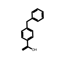 C=C(O)c1ccc(Cc2ccccc2)cc1